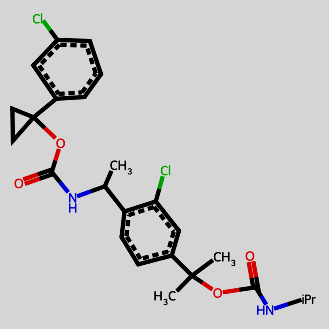 CC(C)NC(=O)OC(C)(C)c1ccc(C(C)NC(=O)OC2(c3cccc(Cl)c3)CC2)c(Cl)c1